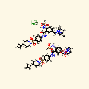 CN(c1ccc(CN2CC3CC(C2)N3C(=O)OC(C)(C)C)cc1C(=O)Nc1ccc(S(=O)(=O)N2CCC(C3CCC3)CC2)cc1)S(C)(=O)=O.CN(c1ccc(CN2C[C@H]3C[C@@H](C2)N3)cc1C(=O)Nc1ccc(S(=O)(=O)N2CCC(C3CCC3)CC2)cc1)S(C)(=O)=O.Cl.Cl